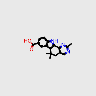 Cc1ncc2c(n1)-c1[nH]c3ccc(C(=O)O)cc3c1C(C)(C)C2